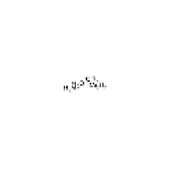 O.O.[AlH3].[MgH2]